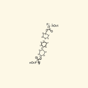 CCCCCCCC[C@@H](F)C(=O)O[C@H]1CC[C@H](c2ccc([C@H]3CC[C@H](OC(=O)[C@H](F)CCCCCCCC)CC3)cc2)CC1